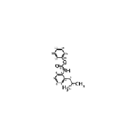 CC(C)Cc1ccccc1NC(=O)Oc1ccccc1